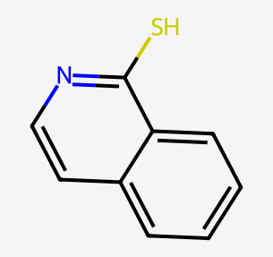 Sc1nccc2ccccc12